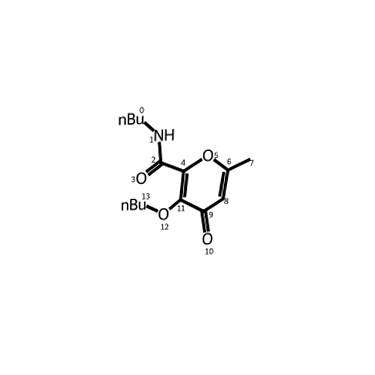 CCCCNC(=O)c1oc(C)cc(=O)c1OCCCC